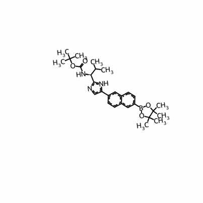 CC(C)[C@H](NC(=O)OC(C)(C)C)c1ncc(-c2ccc3cc(B4OC(C)(C)C(C)(C)O4)ccc3c2)[nH]1